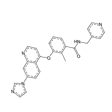 Cc1c(Oc2ccnc3cc(-n4ccnc4)ccc23)cccc1C(=O)NCc1ccncc1